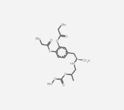 CC(CN[C@@H](Cc1ccc(OC(=O)CC(C)(C)C)c(OC(=O)CC(C)(C)C)c1)C(=O)O)OC(=O)OC(C)(C)C